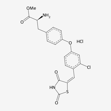 COC(=O)[C@@H](N)Cc1ccc(Oc2ccc(C=C3SC(=O)NC3=O)c(Cl)c2)cc1.Cl